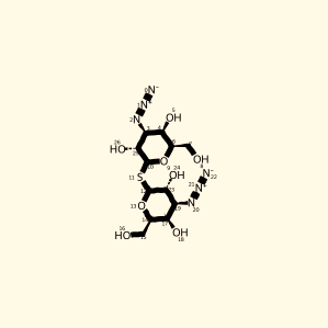 [N-]=[N+]=N[C@H]1[C@@H](O)[C@@H](CO)OC(SC2O[C@H](CO)[C@H](O)[C@H](N=[N+]=[N-])[C@H]2O)[C@@H]1O